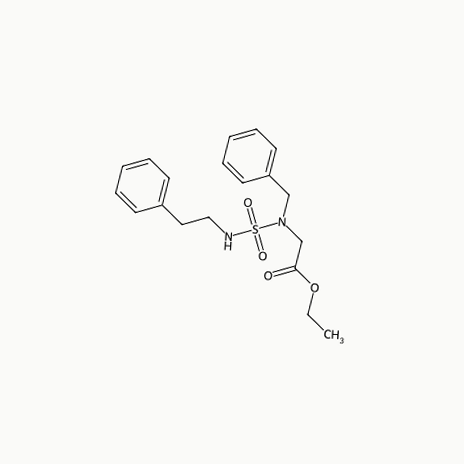 CCOC(=O)CN(Cc1ccccc1)S(=O)(=O)NCCc1ccccc1